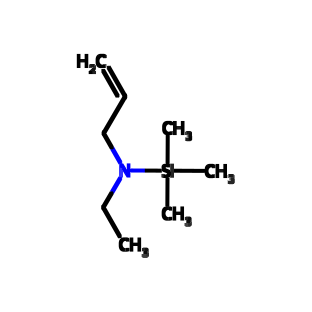 C=CCN(CC)[Si](C)(C)C